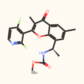 Cc1cc([C@@H](C)NC(=O)OC(C)(C)C)c2oc(-c3c(F)ccnc3F)c(C)c(=O)c2c1